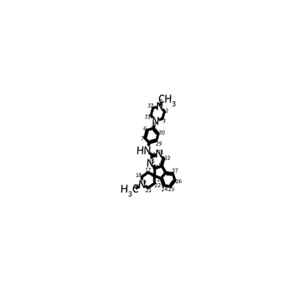 CN1CCN(c2ccc(Nc3ncc4c(n3)C3(CCN(C)CC3)c3ccccc3-4)cc2)CC1